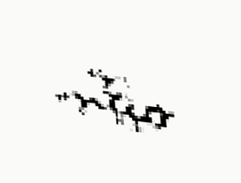 CC(C)OC(=O)[C@H](CCC(=O)C=[N+]=[N-])NC(=O)[C@H](O)c1ccc(F)cn1